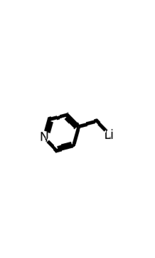 [Li][CH2]c1ccncc1